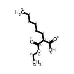 CCCCCCC(C(=O)O)C(=O)OCC